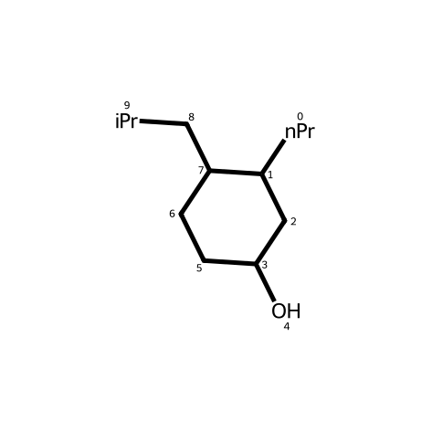 CCCC1CC(O)CCC1CC(C)C